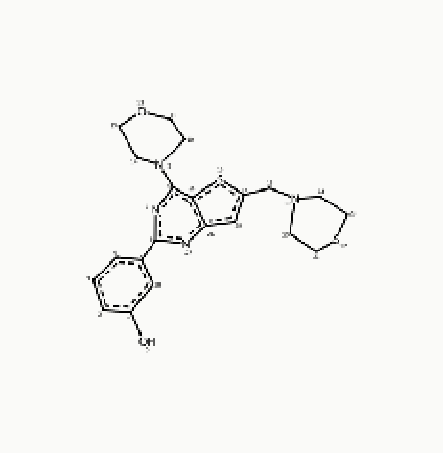 Oc1cccc(-c2nc(N3CCOCC3)c3sc(CN4CCSCC4)cc3n2)c1